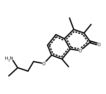 Cc1c(C)c2ccc(OCCC(C)N)c(C)c2oc1=O